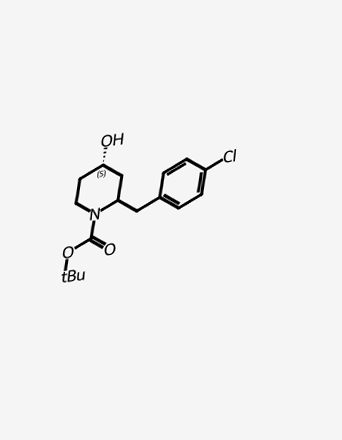 CC(C)(C)OC(=O)N1CC[C@H](O)CC1Cc1ccc(Cl)cc1